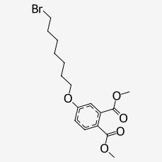 COC(=O)c1ccc(OCCCCCCCBr)cc1C(=O)OC